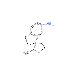 CC1CCCC12CCc1ccc(N)cc12